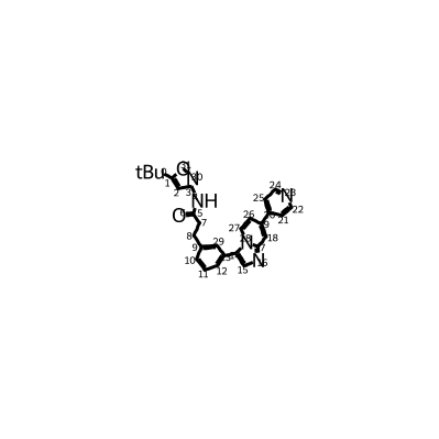 CC(C)(C)c1cc(NC(=O)CCc2cccc(-c3cnc4cc(-c5ccncc5)ccn34)c2)no1